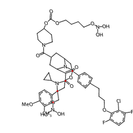 COc1ccc(CN(C(=O)C2=C(c3ccc(CCCOc4c(F)ccc(F)c4Cl)cc3)CC3CC(C(=O)N4CCC(OC(=O)OCCCCON(O)O)CC4)CC2N3C(=O)OCCCCON(O)O)C2CC2)cc1C